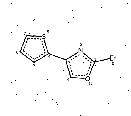 CCc1nc(-c2cccs2)co1